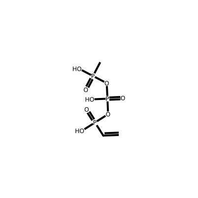 C=CP(=O)(O)OP(=O)(O)OP(C)(=O)O